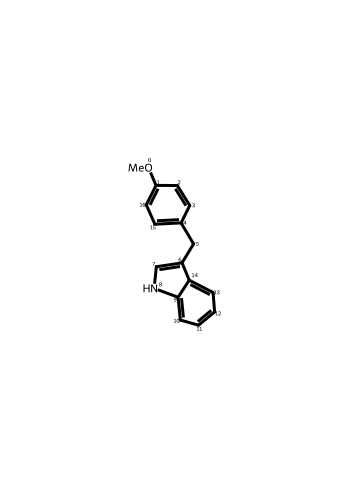 COc1ccc(Cc2c[nH]c3ccccc23)cc1